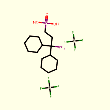 F[B-](F)(F)F.F[B-](F)(F)F.O=P(O)(O)CCC(P)(C1CCCCC1)C1CCCCC1